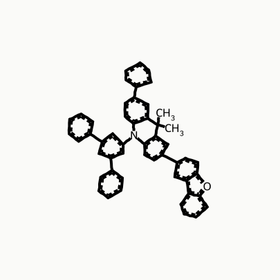 CC1(C)c2cc(-c3ccccc3)ccc2N(c2cc(-c3ccccc3)cc(-c3ccccc3)c2)c2ccc(-c3ccc4oc5ccccc5c4c3)cc21